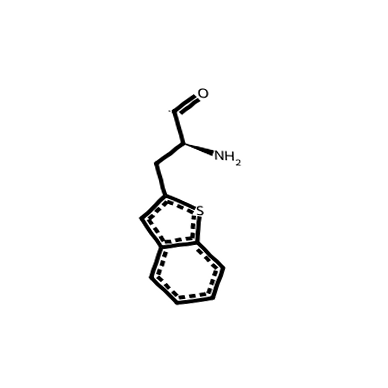 N[C@H]([C]=O)Cc1cc2ccccc2s1